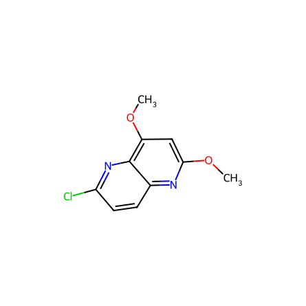 COc1cc(OC)c2nc(Cl)ccc2n1